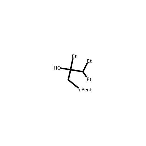 CCCCCCC(O)(CC)C(CC)CC